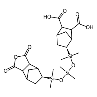 C[Si](C)(O[Si](C)(C)[C@H]1CC2CC1C(C(=O)O)C2C(=O)O)O[Si](C)(C)[C@H]1CC2CC1C1C(=O)OC(=O)C21